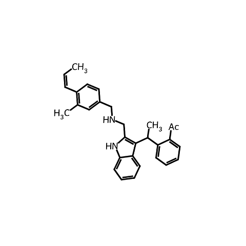 C/C=C\c1ccc(CNCc2[nH]c3ccccc3c2C(C)c2ccccc2C(C)=O)cc1C